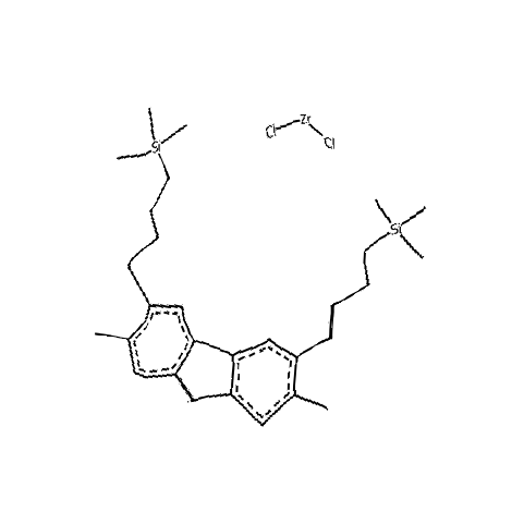 Cc1cc2c(cc1CCCC[Si](C)(C)C)-c1cc(CCCC[Si](C)(C)C)c(C)cc1[CH]2.[Cl][Zr][Cl]